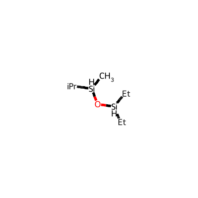 CC[SiH](CC)O[SiH](C)C(C)C